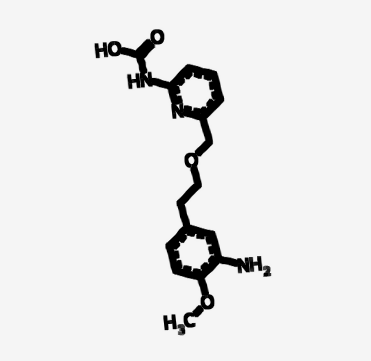 COc1ccc(CCOCc2cccc(NC(=O)O)n2)cc1N